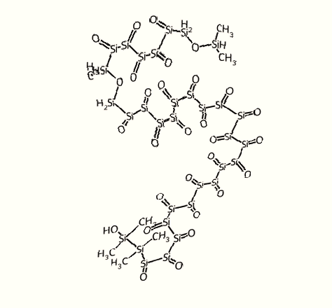 C[SiH](C)O[SiH2][Si](=O)[Si](=O)[Si](=O)[Si](=O)[Si](=O)[SiH](C)O[SiH2][Si](=O)[Si](=O)[Si](=O)[Si](=O)[Si](=O)[Si](=O)[Si](=O)[Si](=O)[Si](=O)[Si](=O)[Si](=O)[Si](=O)[Si](=O)[Si](=O)[Si](=O)[Si](=O)[Si](=O)[Si](=O)[Si](=O)[Si](=O)[Si](=O)[Si](C)(C)[Si](C)(C)O